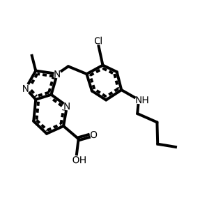 CCCCNc1ccc(Cn2c(C)nc3ccc(C(=O)O)nc32)c(Cl)c1